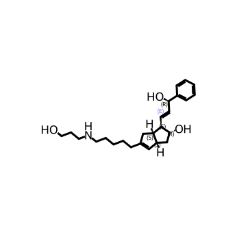 OCCCNCCCCCC1=C[C@H]2C[C@@H](O)[C@H](/C=C/[C@@H](O)c3ccccc3)[C@H]2C1